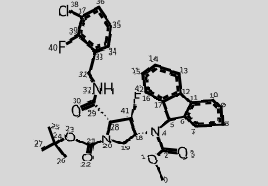 COC(=O)N(C1c2ccccc2-c2ccccc21)[C@@H]1CN(C(=O)OC(C)(C)C)[C@H](C(=O)NCc2cccc(Cl)c2F)[C@H]1F